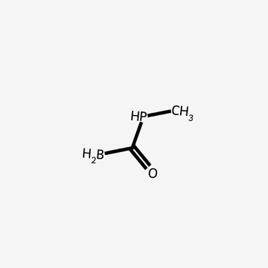 BC(=O)PC